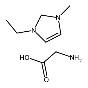 CCN1C=CN(C)C1.NCC(=O)O